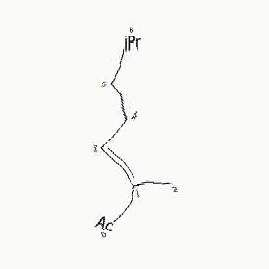 CC(=O)C(C)=CCCC(C)C